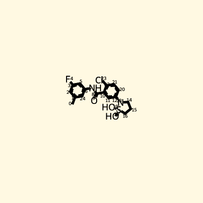 Cc1cc(F)cc(NC(=O)c2cc(N3CCCS3(O)O)ccc2Cl)c1